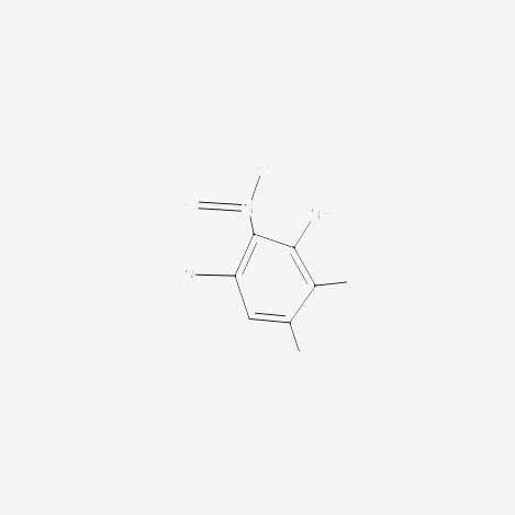 Cc1cc(N)c([N+](=O)[O-])c(N)c1C